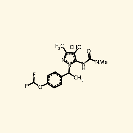 CNC(=O)Nc1c(C=O)c(C(F)(F)F)nn1C(C)c1ccc(OC(F)F)cc1